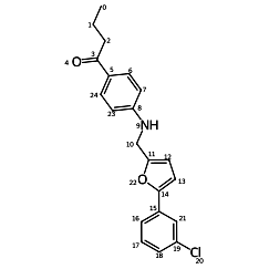 CCCC(=O)c1ccc(NCc2ccc(-c3cccc(Cl)c3)o2)cc1